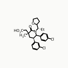 CC[C@@H](C1CCCO1)N1C(=O)[C@@](C)(CC(=O)O)C[C@H](c2cccc(Cl)c2)C1c1ccc(Cl)cc1